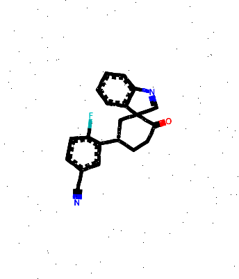 N#Cc1ccc(F)c(C2CCC(=O)C3(C=Nc4ccccc43)C2)c1